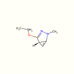 C[SiH2]OC1=NN(C)C2=C[C@@H]21